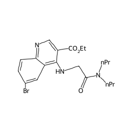 CCCN(CCC)C(=O)CNc1c(C(=O)OCC)cnc2ccc(Br)cc12